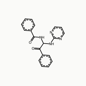 O=C(NC(Nc1ncccn1)C(=O)c1ccccc1)c1ccccc1